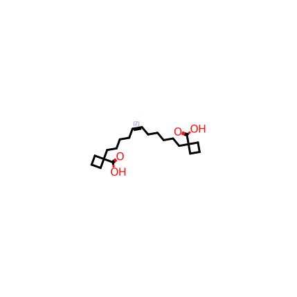 O=C(O)C1(CCCC/C=C\CCCCCC2(C(=O)O)CCC2)CCC1